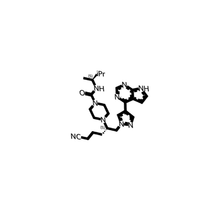 CC(C)[C@H](C)NC(=O)N1CCN([C@@H](CCCC#N)Cn2cc(-c3ncnc4[nH]ccc34)cn2)CC1